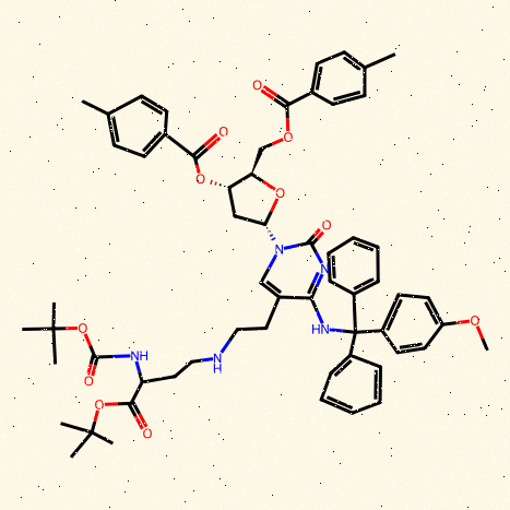 COc1ccc(C(Nc2nc(=O)n([C@@H]3C[C@H](OC(=O)c4ccc(C)cc4)[C@@H](COC(=O)c4ccc(C)cc4)O3)cc2CCNCCC(NC(=O)OC(C)(C)C)C(=O)OC(C)(C)C)(c2ccccc2)c2ccccc2)cc1